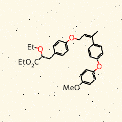 CCOC(=O)[C@H](Cc1ccc(OCC=C(C)c2ccc(Oc3ccc(OC)cc3)cc2)cc1)OCC